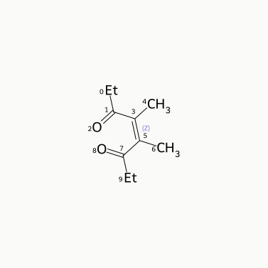 CCC(=O)/C(C)=C(/C)C(=O)CC